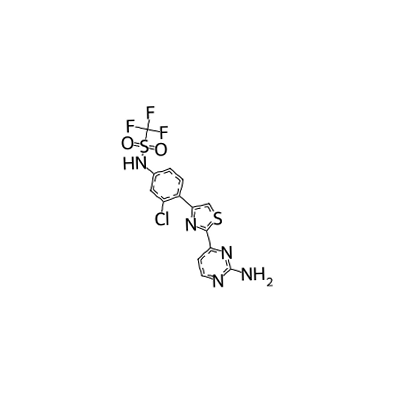 Nc1nccc(-c2nc(-c3ccc(NS(=O)(=O)C(F)(F)F)cc3Cl)cs2)n1